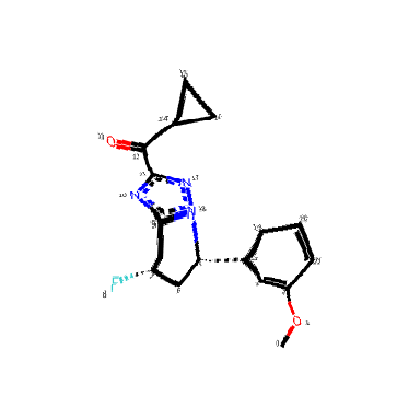 COC1=CC([C@@H]2C[C@H](F)c3nc(C(=O)C4CC4)nn32)CC=C1